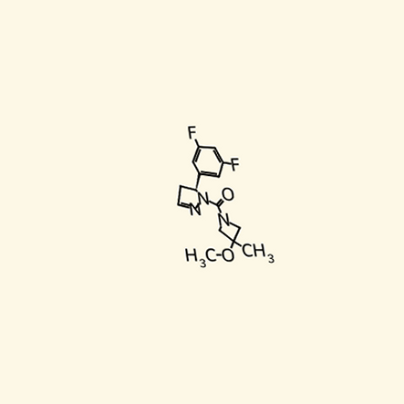 COC1(C)CN(C(=O)N2N=CC[C@H]2c2cc(F)cc(F)c2)C1